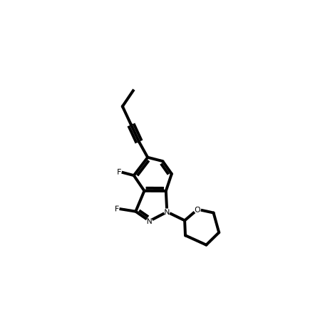 CCC#Cc1ccc2c(c(F)nn2C2CCCCO2)c1F